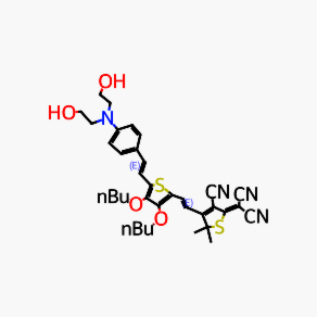 CCCCOc1c(/C=C/C2=C(C#N)C(=C(C#N)C#N)SC2(C)C)sc(/C=C/c2ccc(N(CCO)CCO)cc2)c1OCCCC